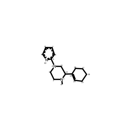 CN1CCN(c2ccccn2)CC1C1=CCCCC1